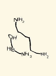 NBO.NCCCN